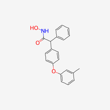 Cc1cccc(Oc2ccc(C(C(=O)NO)c3ccccc3)cc2)c1